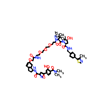 Cc1ncsc1-c1ccc(CNC(=O)[C@@H]2C[C@@H](O)CN2C(=O)C(NC(=O)CCOCCOCCOCCNC(=O)COc2ccc3c(c2)[C@H](NC(=O)c2cc(-c4ccc(C(=O)N(C)C)c(O)c4)on2)CC3)C(C)(C)C)cc1